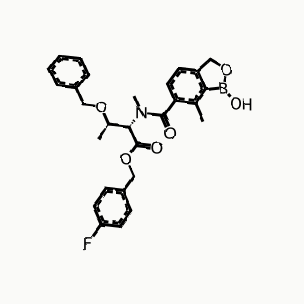 Cc1c(C(=O)N(C)[C@H](C(=O)OCc2ccc(F)cc2)[C@@H](C)OCc2ccccc2)ccc2c1B(O)OC2